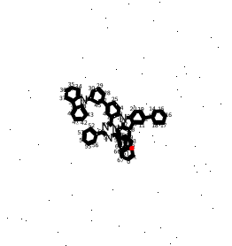 c1ccc(-c2ccc3c(c2)c2cc(-c4ccccc4)ccc2n3-c2ccc(-c3cccc(-n4c5ccccc5c5ccccc54)c3)cc2-c2nc(-c3ccccc3)nc(-c3ccccc3)n2)cc1